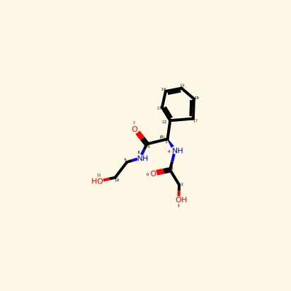 O=C(CO)N[C@@H](C(=O)NCCO)c1ccccc1